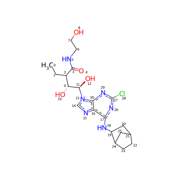 CCC(C(=O)NCCO)[C@@H](O)[C@@H](O)n1cnc2c(NC3CC4CCC3C4)nc(Cl)nc21